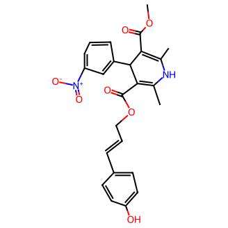 COC(=O)C1=C(C)NC(C)=C(C(=O)OCC=Cc2ccc(O)cc2)C1c1cccc([N+](=O)[O-])c1